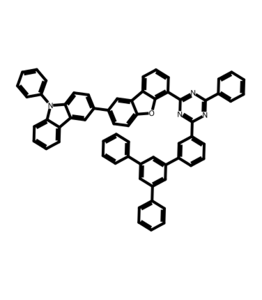 c1ccc(-c2cc(-c3ccccc3)cc(-c3cccc(-c4nc(-c5ccccc5)nc(-c5cccc6c5oc5ccc(-c7ccc8c(c7)c7ccccc7n8-c7ccccc7)cc56)n4)c3)c2)cc1